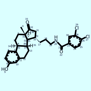 C[C@]12CC[C@@H]3c4ccc(O)cc4CC[C@H]3[C@@H]1[C@@H](CCCNC(=O)c1ccc(Cl)c(Cl)c1)CC2=O